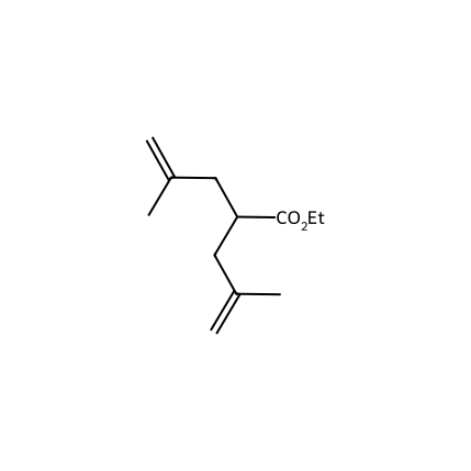 C=C(C)CC(CC(=C)C)C(=O)OCC